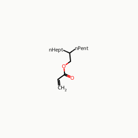 C=CC(=O)OCC(CCCCC)CCCCCCC